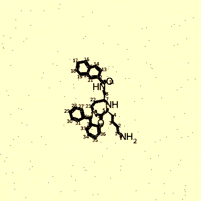 NCCCC[C@@H]1N[C@H](CNC(=O)c2ccc3ccccc3c2)CCN(C(c2ccccc2)c2ccccc2)C1=O